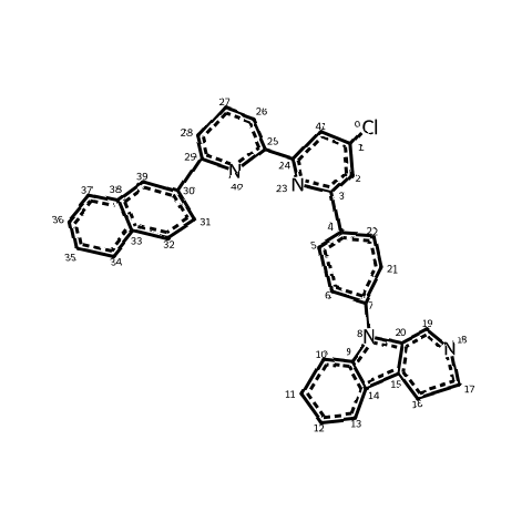 Clc1cc(-c2ccc(-n3c4ccccc4c4ccncc43)cc2)nc(-c2cccc(-c3ccc4ccccc4c3)n2)c1